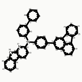 c1ccc(-c2cccc(N(c3ccc(-c4cc5c6c(cccc6c4)-c4ccccc4-5)cc3)c3ccc4c(n3)oc3ccccc34)c2)cc1